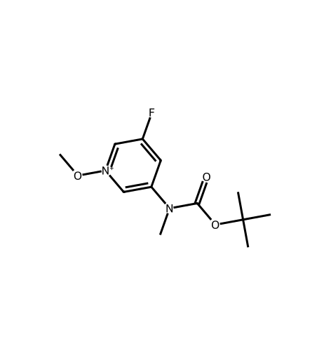 CO[n+]1cc(F)cc(N(C)C(=O)OC(C)(C)C)c1